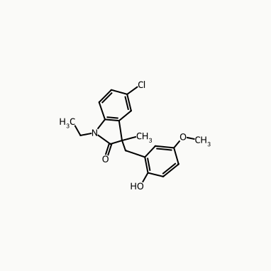 CCN1C(=O)C(C)(Cc2cc(OC)ccc2O)c2cc(Cl)ccc21